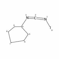 IN=C=NC1CCCCC1